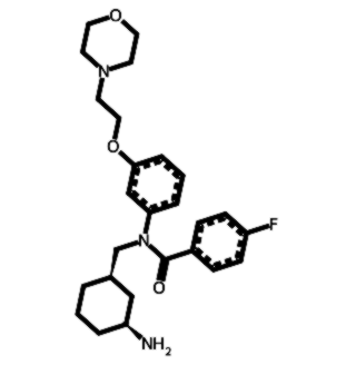 N[C@H]1CCC[C@@H](CN(C(=O)c2ccc(F)cc2)c2cccc(OCCN3CCOCC3)c2)C1